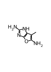 Cc1c(N)oc2nc(N)[nH]c12